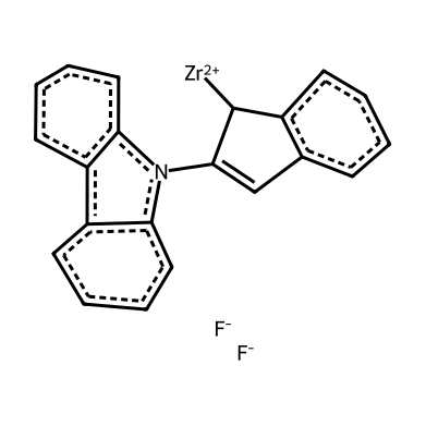 [F-].[F-].[Zr+2][CH]1C(n2c3ccccc3c3ccccc32)=Cc2ccccc21